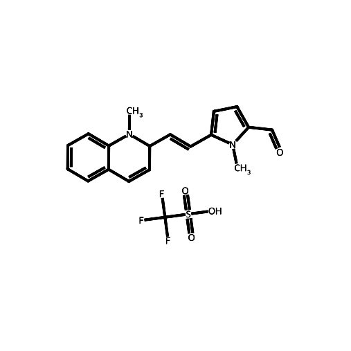 CN1c2ccccc2C=CC1C=Cc1ccc(C=O)n1C.O=S(=O)(O)C(F)(F)F